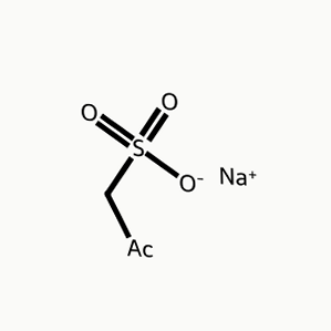 CC(=O)CS(=O)(=O)[O-].[Na+]